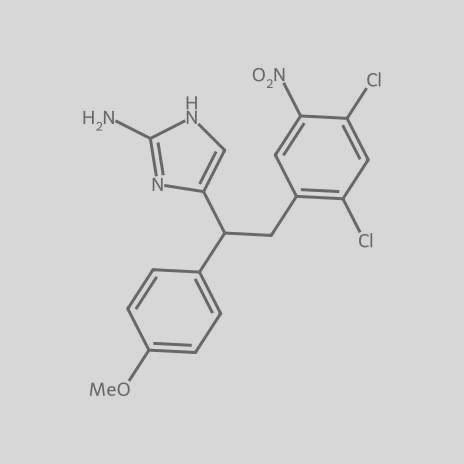 COc1ccc(C(Cc2cc([N+](=O)[O-])c(Cl)cc2Cl)c2c[nH]c(N)n2)cc1